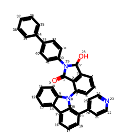 O=C1c2c(cccc2-n2c3ccccc3c3cccc(-c4ccncc4)c32)C(O)N1c1ccc(-c2ccccc2)cc1